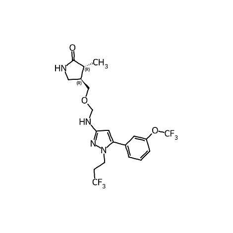 C[C@H]1C(=O)NC[C@@H]1COCNc1cc(-c2cccc(OC(F)(F)F)c2)n(CCC(F)(F)F)n1